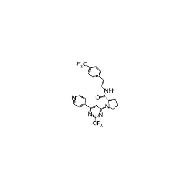 O=C(NCCc1ccc(C(F)(F)F)cc1)[C@@H]1CCCN1c1cc(-c2ccncc2)nc(C(F)(F)F)n1